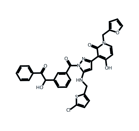 O=C(c1ccccc1)C(O)c1cccc(C(=O)n2nc(-c3c(O)ccn(Cc4ccco4)c3=O)cc2NCc2ccc(Cl)s2)c1